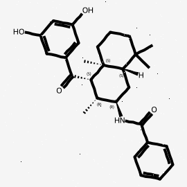 C[C@H]1[C@H](NC(=O)c2ccccc2)C[C@H]2C(C)(C)CCC[C@]2(C)[C@H]1C(=O)c1cc(O)cc(O)c1